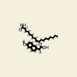 CCCCCCCC/C=C\CCCCCCCC(N)=O.COc1ccc2cc([C@H](C)C(=O)O)ccc2c1